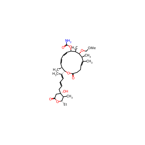 CC[C@@H]1OC(=O)C[C@@](O)(C/C=C/C=C(\C)[C@H]2OC(=O)CC/C=C(\C)C(C)[C@H](OCOC)C(C)C(OC(N)=O)/C=C\C=C/[C@@H]2C)C1C